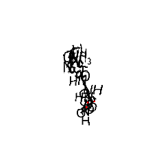 CNC(=O)c1cnc2ccc(-c3ccc(C(=O)NCCCCNC(=O)CNc4cccc5c4C(=O)N(C4CCC(=O)NC4=O)C5=O)c(F)c3)cc2c1Nc1ccccc1